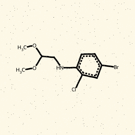 COC(CNc1ccc(Br)cc1Cl)OC